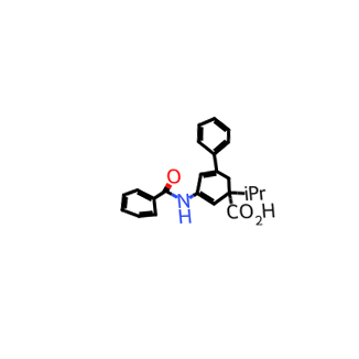 CC(C)C1(C(=O)O)C=C(NC(=O)c2ccccc2)C=C(c2ccccc2)C1